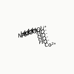 [Al+3].[Co+2].[Li+].[Ni+2].[OH-].[OH-].[OH-].[OH-].[OH-].[OH-].[OH-].[OH-]